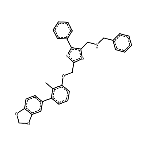 Cc1c(OCc2nc(-c3ccccc3)c(CNCc3ccccc3)o2)cccc1-c1ccc2c(c1)OCO2